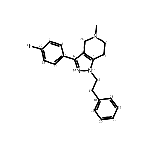 CN1CCc2c(c(-c3ccc(F)cc3)nn2CCc2ccccc2)C1